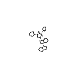 c1ccc(-c2cc(-c3ncc(-c4cccc5ccccc45)c4ccccc34)nc(-c3ccccc3)n2)cc1